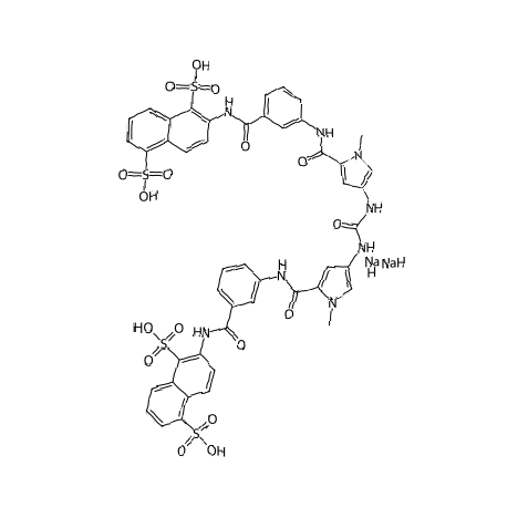 Cn1cc(NC(=O)Nc2cc(C(=O)Nc3cccc(C(=O)Nc4ccc5c(S(=O)(=O)O)cccc5c4S(=O)(=O)O)c3)n(C)c2)cc1C(=O)Nc1cccc(C(=O)Nc2ccc3c(S(=O)(=O)O)cccc3c2S(=O)(=O)O)c1.[NaH].[NaH]